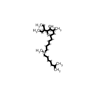 C=C(C)CCCCCN(C)CCCCCCCC(C)C(C)C(S)C(CC)CC